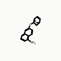 Nc1cccc2cc(OC3CC4C=CC3O4)ccc12